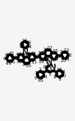 c1ccc(-c2cc(-c3ccccc3)nc(-n3c4cc(-c5ccccc5)cc5ccc6cc(-c7cc8ccc9cc(-c%10ccccc%10)cc%10c9c8c(c7)n%10-c7ccccc7)cc3c6c54)c2)cc1